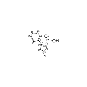 CN1C[C@@H](C(=O)O)[C@H](c2ccccc2)C1